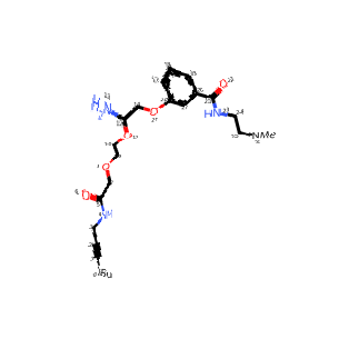 CC[C@H](C)C#CCNC(=O)COCCOC(N)COc1cccc(C(=O)NCCNC)c1